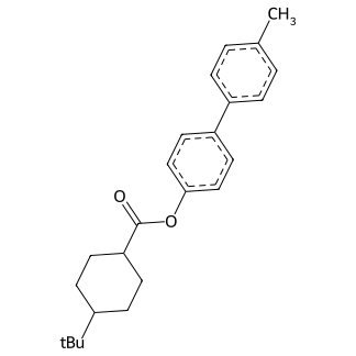 Cc1ccc(-c2ccc(OC(=O)C3CCC(C(C)(C)C)CC3)cc2)cc1